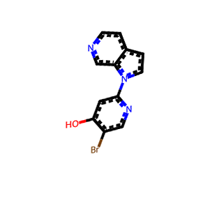 Oc1cc(-n2ccc3ccncc32)ncc1Br